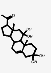 CC(=O)C1CCC2C3CC=C4CC(O)(O)CCC4(C)C3C(O)(O)CC12C